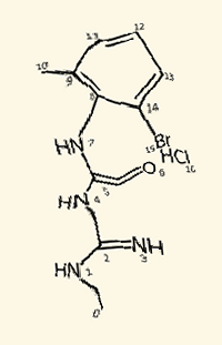 CNC(=N)NC(=O)Nc1c(C)cccc1Br.Cl